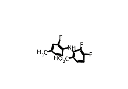 Cc1ccc(Nc2c(C(=O)O)ccc(F)c2F)c(F)c1